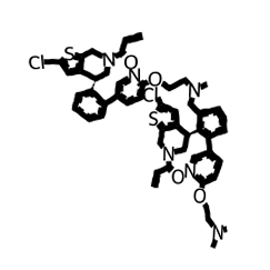 C=CC(=O)N1Cc2sc(Cl)cc2[C@@H](c2ccccc2-c2ccc(OCCN(C)Cc3cccc(-c4ccc(OCCN(C)C)nc4)c3[C@H]3CN(C(=O)C=C)Cc4sc(Cl)cc43)nc2)C1